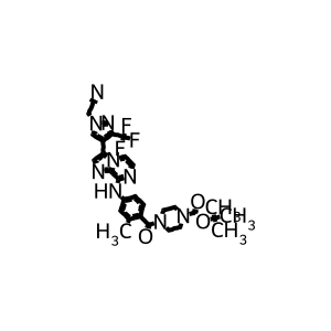 Cc1cc(Nc2nccn3c(-c4cn(CC#N)nc4C(F)(F)F)cnc23)ccc1C(=O)N1CCN(C(=O)OC(C)(C)C)CC1